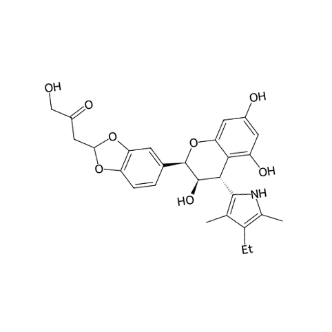 CCc1c(C)[nH]c([C@H]2c3c(O)cc(O)cc3O[C@H](c3ccc4c(c3)OC(CC(=O)CO)O4)[C@@H]2O)c1C